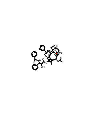 B[C@]12C(OC(=O)c3ccccc3)[C@]3(O)CC(OC(=O)C(O)C(NC(=O)c4ccccc4)c4ccccc4)C(C)=C([C@@H](OC(C)=O)C4=C[C@]41[C@@H](O)C[C@H]1OC[C@]12OC(C)=O)C3(C)C